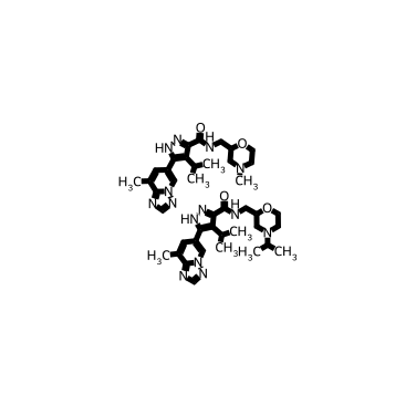 Cc1cc(-c2[nH]nc(C(=O)NCC3CN(C(C)C)CCO3)c2C(C)C)cn2ncnc12.Cc1cc(-c2[nH]nc(C(=O)NCC3CN(C)CCO3)c2C(C)C)cn2ncnc12